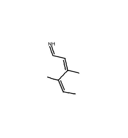 C/C=C(C)\C(C)=C/C=N